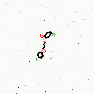 COc1ccc(Br)cc1OCCCCOc1ccc(F)cc1